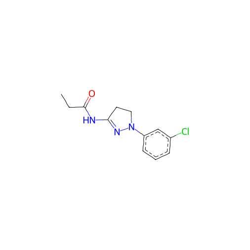 CCC(=O)NC1=NN(c2cccc(Cl)c2)CC1